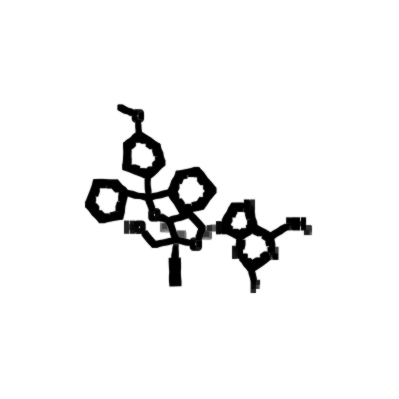 C#C[C@]1(CO)O[C@@H](n2cnc3c(N)nc(F)nc32)C[C@@H]1OC(c1ccccc1)(c1ccccc1)c1ccc(OC)cc1